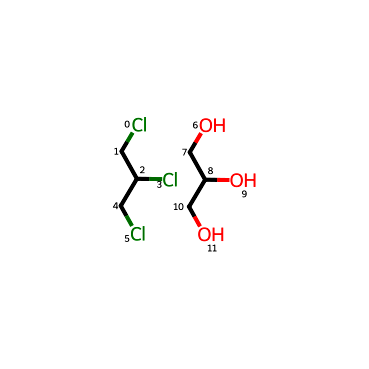 ClCC(Cl)CCl.OCC(O)CO